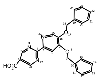 O=C(O)c1cnc(-c2cc(OCc3ccccc3)c(OCc3ccccc3)cn2)nc1